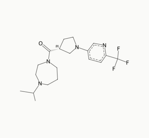 CC(C)N1CCCN(C(=O)[C@@H]2CCN(c3ccc(C(F)(F)F)nc3)C2)CC1